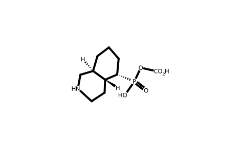 O=C(O)OP(=O)(O)[C@H]1CCC[C@@H]2CNCC[C@H]21